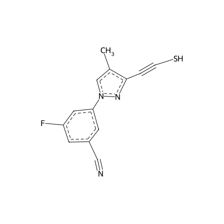 Cc1cn(-c2cc(F)cc(C#N)c2)nc1C#CS